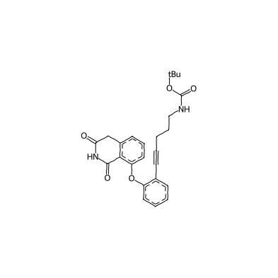 CC(C)(C)OC(=O)NCCCC#Cc1ccccc1Oc1cccc2c1C(=O)NC(=O)C2